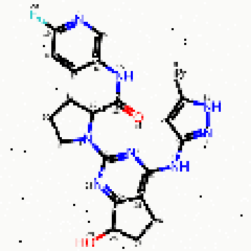 CC(C)c1cc(Nc2nc(N3CCCC3C(=O)Nc3ccc(F)nc3)nc3c2CCC3O)n[nH]1